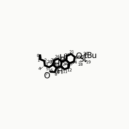 C=CC[C@@H](C)[C@H]1C(=O)C[C@H]2[C@@H]3CC=C4C[C@@H](O[Si](C)(C)C(C)(C)C)CC[C@]4(C)[C@H]3CC[C@]12C